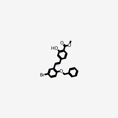 COC(=O)c1ccc(/C=C/c2cc(Br)ccc2OCc2ccccc2)cc1O